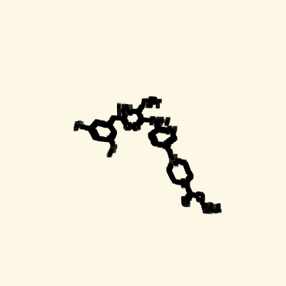 CCCC(NC(=O)Cc1cc(F)cc(F)c1)C(=O)Nc1ccc(N2CCN(C(=O)OC(C)(C)C)CC2)cn1